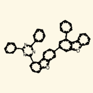 c1ccc(-c2nc(-c3ccccc3)nc(-c3cccc4oc5cc(-c6cc(-c7ccccc7)c7c(c6)oc6ccccc67)ccc5c34)n2)cc1